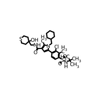 Cc1c(S(=O)(=O)NC(C)(C)C)ccc(-c2cc(C(=O)NCC3(O)CCSCC3)c(C)n2CC2CCCCC2)c1Cl